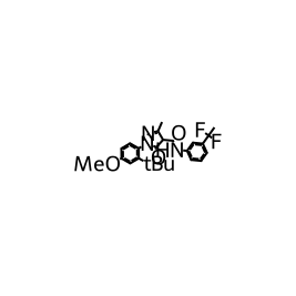 COc1ccc(N2N=C(C)C(C(=O)Nc3cccc(C(C)(F)F)c3)C2=O)c(C(C)(C)C)c1